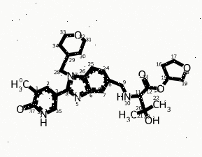 Cc1cc(-c2nc3cc(CNC(C(=O)OC4CCOC4)C(C)(C)O)ccc3n2CC2CCOCC2)c[nH]c1=O